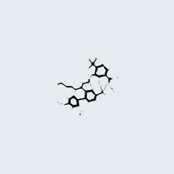 CCCCCC(CC(=O)Nc1cc(C(=O)NC)ccc1C(C)(C)C)c1cc(C(=O)OC)ccc1-c1ccc(OC)cc1OC